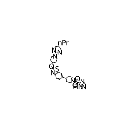 CCCc1cnc(N2CCC(Oc3nc4ccc(C5=CCN(S(=O)(=O)c6ncn[nH]6)CC5)cc4s3)CC2)nc1